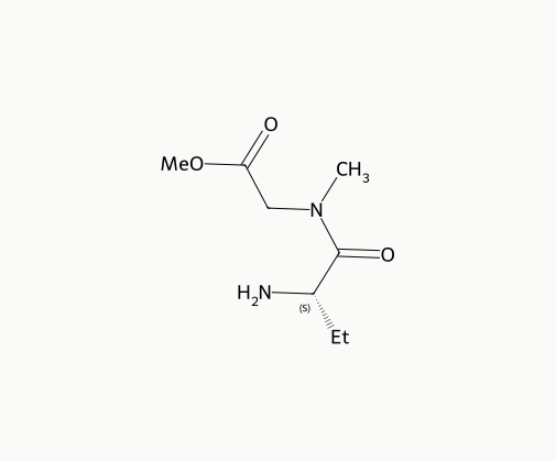 CC[C@H](N)C(=O)N(C)CC(=O)OC